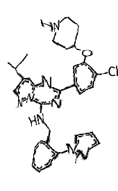 CC(C)c1cnn2c(NCc3ccccc3-n3cccn3)nc(-c3ccc(Cl)c(OC4CCNCC4)c3)nc12